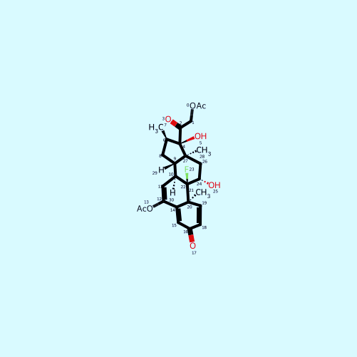 CC(=O)OCC(=O)[C@@]1(O)[C@H](C)C[C@H]2[C@@H]3C=C(OC(C)=O)C4=CC(=O)C=C[C@]4(C)[C@@]3(F)[C@@H](O)C[C@@]21C